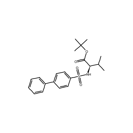 CC(C)[C@@H](NS(=O)(=O)c1ccc(-c2ccccc2)cc1)C(=O)OC(C)(C)C